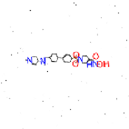 CN1CCC(N(C)Cc2ccc(-c3ccc(S(=O)(=O)N4CC=C(C(=O)NO)CC4)cc3)cc2)CC1